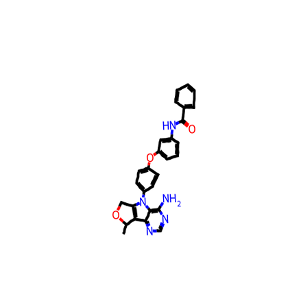 CC1OCc2c1c1ncnc(N)c1n2-c1ccc(Oc2cccc(NC(=O)c3ccccc3)c2)cc1